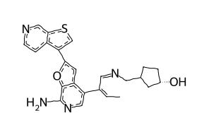 C/C=C(\C=N/CC1CC[C@H](O)C1)c1cnc(N)c2oc(-c3csc4cnccc34)cc12